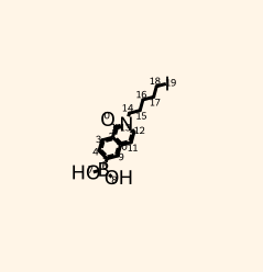 O=c1c2ccc(B(O)O)cc2ccn1CCCCCI